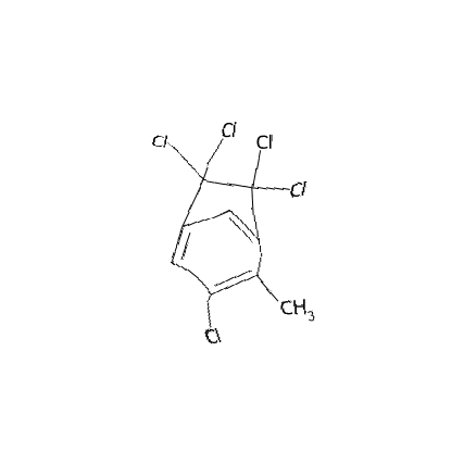 Cc1c(Cl)cc2cc1C(Cl)(Cl)C2(Cl)Cl